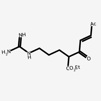 CCOC(=O)C(CCCNC(=N)N)C(=O)/C=C/C(C)=O